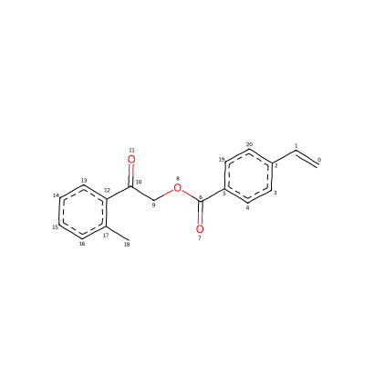 C=Cc1ccc(C(=O)OCC(=O)c2ccccc2C)cc1